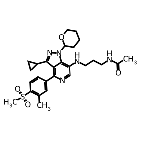 CC(=O)NCCCNc1cnc(-c2ccc(S(C)(=O)=O)c(C)c2)c2c(C3CC3)nn(C3CCCCO3)c12